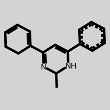 CC1N=C(C2=CC=CCC2)C=C(c2ccccc2)N1